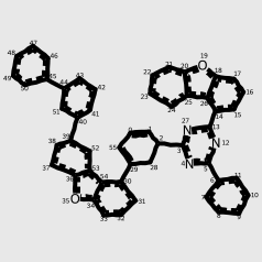 C1=CC(c2nc(-c3ccccc3)nc(-c3cccc4oc5ccccc5c34)n2)CC(c2cccc3oc4ccc(-c5cccc(-c6ccccc6)c5)cc4c23)=C1